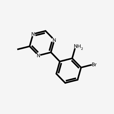 Cc1ncnc(-c2cccc(Br)c2N)n1